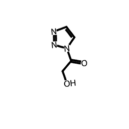 O=C(CO)n1ccnn1